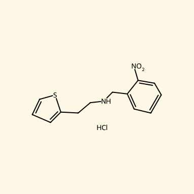 Cl.O=[N+]([O-])c1ccccc1CNCCc1cccs1